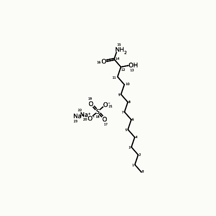 CCCCCCCCCCCCC(O)C(N)=O.O=S(=O)([O-])[O-].[Na+].[Na+]